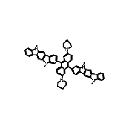 Cn1c2ccccc2c2cc3c(cc21)c1ccc(-c2c4ccc(N5CCCCC5)cc4c(-c4ccc5c6cc7c(cc6n(C)c5c4)c4ccccc4n7C)c4ccc(N5CCCCC5)cc24)cc1n3C